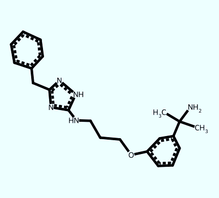 CC(C)(N)c1cccc(OCCCNc2nc(Cc3ccccc3)n[nH]2)c1